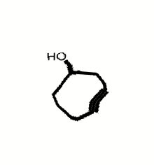 OC1CC#CCC1